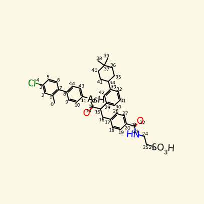 Cc1cc(Cl)ccc1-c1ccc([AsH]C(=O)C(Cc2ccc(C(=O)NCCS(=O)(=O)O)cc2)c2cccc(C3CCC(C)(C)CC3)c2)cc1